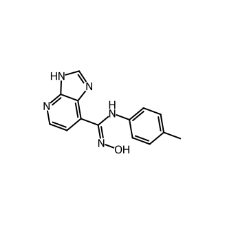 Cc1ccc(N/C(=N\O)c2ccnc3[nH]cnc23)cc1